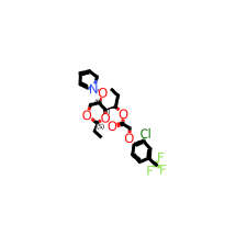 CCC(OC(=O)COc1ccc(C(F)(F)F)cc1Cl)[C@H]1O[C@@H](CC)OC[C@H]1ON1C=CC=CC1